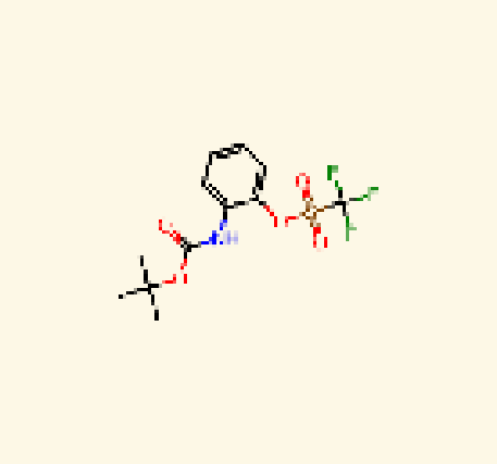 CC(C)(C)OC(=O)Nc1ccccc1OS(=O)(=O)C(F)(F)F